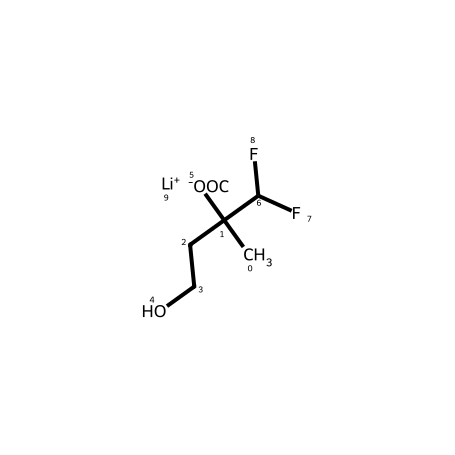 CC(CCO)(C(=O)[O-])C(F)F.[Li+]